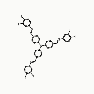 Ic1ccc(/N=C/c2ccc(N(c3ccc(/C=N/c4ccc(I)c(I)c4)cc3)c3ccc(/C=N/c4ccc(I)c(I)c4)cc3)cc2)cc1I